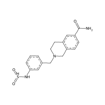 NC(=O)c1ccc2c(c1)CCN(Cc1cccc(N[SH](=O)=O)c1)C2